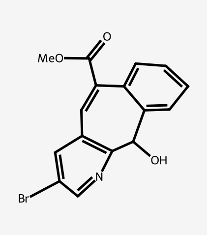 COC(=O)C1=Cc2cc(Br)cnc2C(O)c2ccccc21